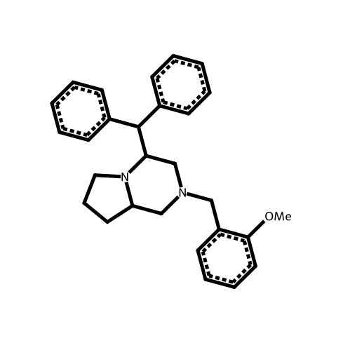 COc1ccccc1CN1CC2CCCN2C(C(c2ccccc2)c2ccccc2)C1